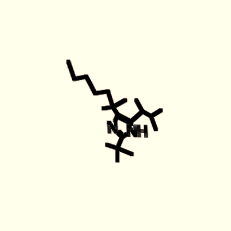 CCCCCC(C)(C)c1nc(C(C)(C)C)[nH]c1C(C)C(C)C